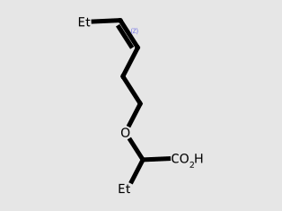 CC/C=C\CCOC(CC)C(=O)O